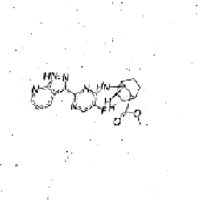 COC(=O)[C@@H]1C2CCC(CC2)[C@H]1Nc1nc(-c2n[nH]c3ncccc23)ncc1F